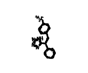 [CH2]c1ccc(C=C(c2ccccc2)c2nnn[nH]2)cc1